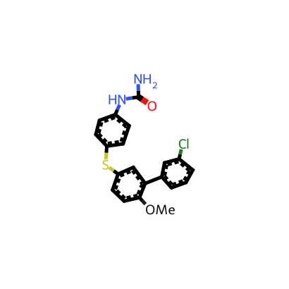 COc1ccc(Sc2ccc(NC(N)=O)cc2)cc1-c1cccc(Cl)c1